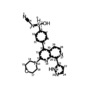 C[SH](O)(=NC#N)c1ccc(-c2cc(N3CCOCC3)nc3c(-c4ccn[nH]4)nccc23)cc1